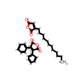 CCCCCCCCCCCCC1=CC(=O)OC1=O.O=C1OC(=O)C(c2ccccc2)=C1c1ccccc1